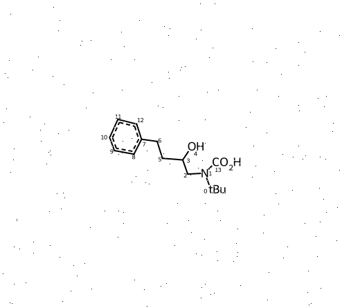 CC(C)(C)N(CC(O)CCc1ccccc1)C(=O)O